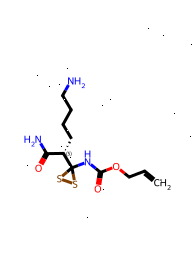 C=CCOC(=O)NC1([C@@H](CCCCN)C(N)=O)SS1